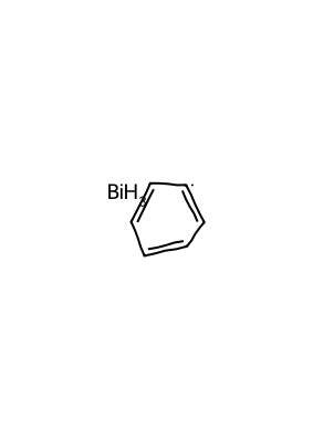 [BiH3].[c]1ccccc1